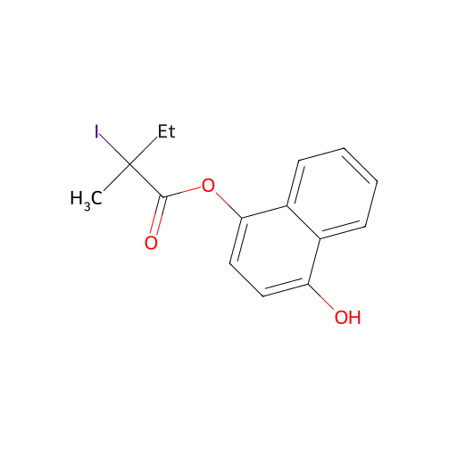 CCC(C)(I)C(=O)Oc1ccc(O)c2ccccc12